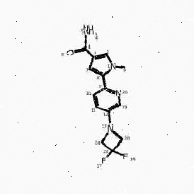 Cn1cc(C(N)=O)cc1-c1ccc(N2CC(F)(F)C2)cn1